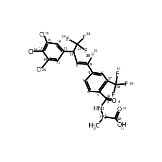 CN(NC(=O)c1ccc(/C(F)=C/C(c2cc(Cl)c(Cl)c(Cl)c2)C(F)(F)F)cc1C(F)(F)F)C(=O)O